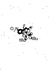 CC(C)(C)OC(=O)N(C(=O)OC(C)(C)C)C1=N[C@](CF)(c2cc([N+](=O)[O-])ccc2F)C[C@@H](CF)O1